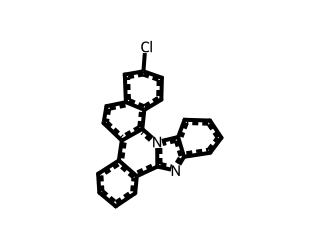 Clc1ccc2c(ccc3c4ccccc4c4nc5ccccc5n4c23)c1